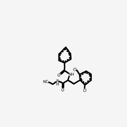 N#CCNC(=O)C(Cc1c(Cl)cccc1Cl)NC(=O)c1ccccc1